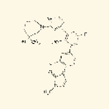 Cn1ccn(-c2ccc(-c3cc(F)cc(-c4ccnc(N5CCCC(C)(O)C5)c4)c3O)cc2Cl)c1=O